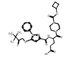 CC(C)(C)C(=O)COc1cc(C(=O)NC(CCC(=O)O)C(=O)N2CCN(C(=O)OC3CCC3)CC2)nn1-c1ccccc1